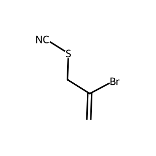 C=C(Br)CSC#N